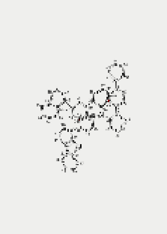 c1ccc(-c2ccc(-c3ccccc3N(c3ccc(-c4cccc5c4oc4ccccc45)cc3)c3ccccc3-c3cccc(-c4cccc5ccccc45)c3)cc2)cc1